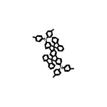 Cc1ccc(N(c2ccc(C)cc2)c2ccc3c(c2)C2(c4ccccc4-c4ccccc42)c2cc4c(cc2-3)C2(c3ccccc3-c3ccccc32)c2cc(N(c3ccc(C)cc3)c3ccc(C)cc3)ccc2-4)cc1